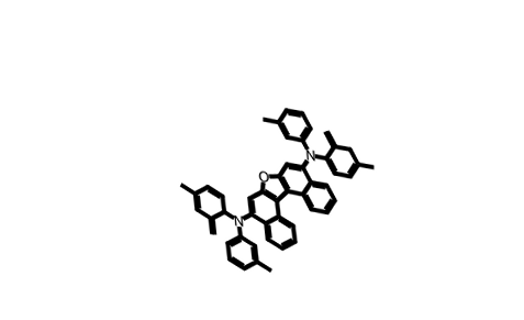 C=C1CC(C)=CC=C1N(c1cccc(C)c1)c1cc2oc3cc(N(c4cccc(C)c4)C4C=CC(C)=CC4=C)c4ccccc4c3c2c2ccccc12